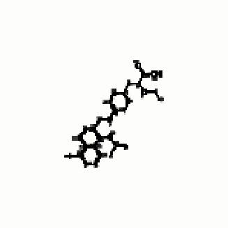 CCOC(Cc1ccc(OCc2cnc3c(I)cccc3c2OC(C)C)cc1)C(=O)O